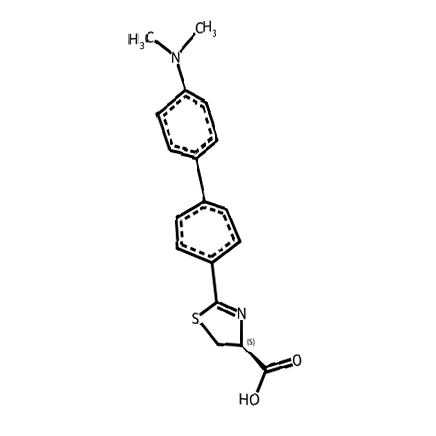 CN(C)c1ccc(-c2ccc(C3=N[C@@H](C(=O)O)CS3)cc2)cc1